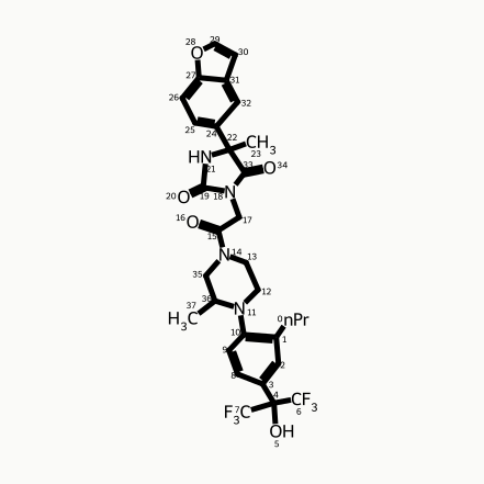 CCCc1cc(C(O)(C(F)(F)F)C(F)(F)F)ccc1N1CCN(C(=O)CN2C(=O)NC(C)(c3ccc4occc4c3)C2=O)CC1C